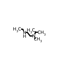 CCNCCN(C)C(C)C